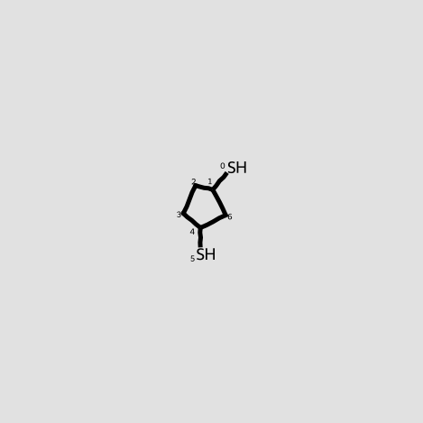 SC1CCC(S)C1